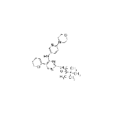 CC(C)(C)[Si](C)(C)OCc1ncc(C2=CCCCO2)c(Nc2ccc(N3CCOCC3)nc2)n1